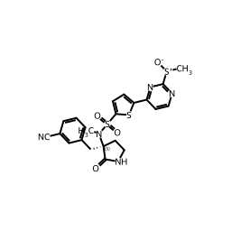 CN([C@@]1(Cc2cccc(C#N)c2)CCNC1=O)S(=O)(=O)c1ccc(-c2ccnc([S+](C)[O-])n2)s1